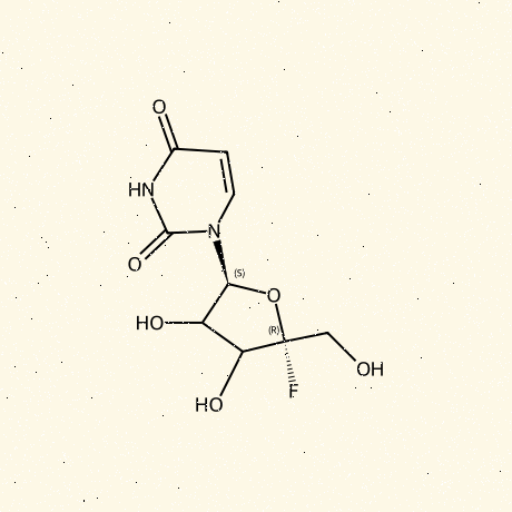 O=c1ccn([C@H]2O[C@@](F)(CO)C(O)C2O)c(=O)[nH]1